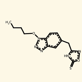 CCCCOn1nnc2cc(Cc3noc(=S)[nH]3)ccc21